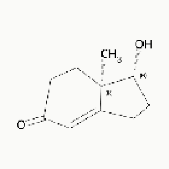 C[C@@]12CCC(=O)C=C1CC[C@H]2O